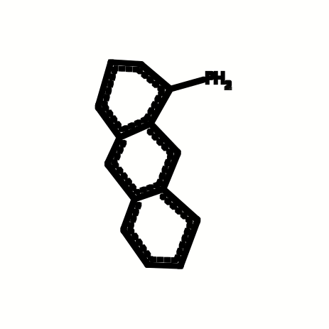 Pc1cccc2cc3ccccc3cc12